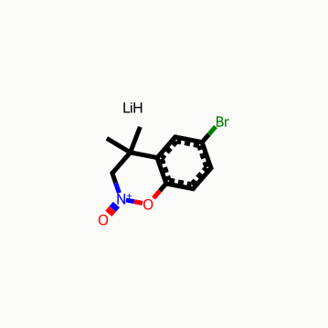 CC1(C)C[N+](=O)Oc2ccc(Br)cc21.[LiH]